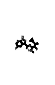 C=C(/C(F)=C(\N=C(/C)c1n[nH]c2ncc(F)cc12)NC)C1CC1